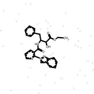 CCOC(=O)C(O)C(Cc1ccccc1)NC(=O)c1cccnc1-n1cc2ccccc2n1